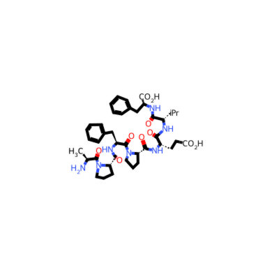 CC(C)[C@H](NC(=O)[C@H](CCC(=O)O)NC(=O)[C@@H]1CCCN1C(=O)[C@H](Cc1ccccc1)NC(=O)[C@@H]1CCCN1C(=O)[C@H](C)N)C(=O)N[C@@H](Cc1ccccc1)C(=O)O